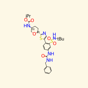 CC(C)OC(=O)N[C@H]1CC[C@H](c2ncc(-c3ccc(NC(=O)NCc4ccccc4)cc3S(=O)(=O)NC(C)(C)C)s2)OC1